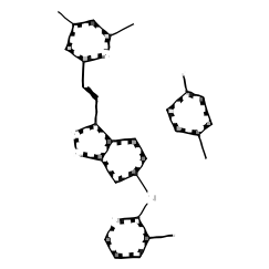 Cc1cc(C)nc(C=Cc2n[nH]c3cc(Nc4ncccc4C(=O)O)ccc23)c1.Cc1ccc(S(=O)(=O)O)cc1